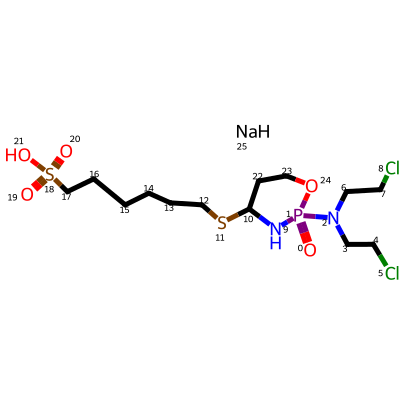 O=P1(N(CCCl)CCCl)NC(SCCCCCCS(=O)(=O)O)CCO1.[NaH]